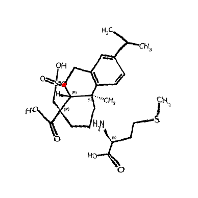 CC(C)c1ccc2c(c1)CC[C@H]1[C@@](CS(=O)(=O)O)(C(=O)O)CCC[C@]21C.CSCC[C@H](N)C(=O)O